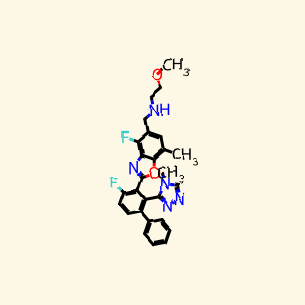 COCCNCc1cc(C)c2oc(-c3c(F)ccc(-c4ccccc4)c3-c3nncn3C)nc2c1F